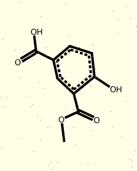 COC(=O)c1cc(C(=O)O)ccc1O